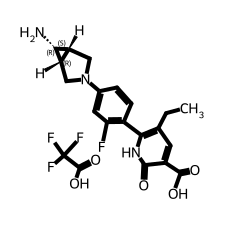 CCc1cc(C(=O)O)c(=O)[nH]c1-c1ccc(N2C[C@@H]3[C@H](N)[C@@H]3C2)cc1F.O=C(O)C(F)(F)F